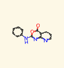 O=c1oc(Nc2ccccc2)nc2ncccc12